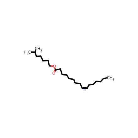 CCCCCC/C=C\CCCCCCCC(=O)OCCCCCC(C)C